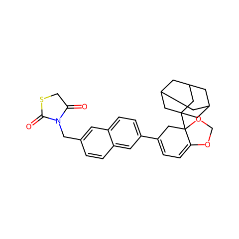 O=C1CSC(=O)N1Cc1ccc2cc(C3=CC=C4OCOC4(C45CC6CC(CC(C6)C4)C5)C3)ccc2c1